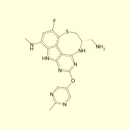 CNc1cc(F)c2c3c1[nH]c1nc(Oc4cnc(C)nc4)nc(c13)N[C@@H](CN)CS2